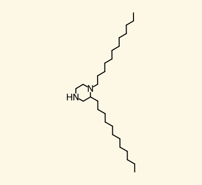 CCCCCCCCCCCCC1CNCCN1CCCCCCCCCCCC